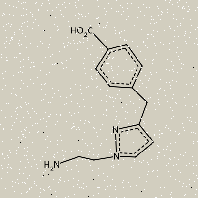 NCCn1ccc(Cc2ccc(C(=O)O)cc2)n1